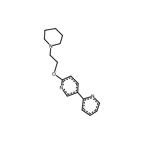 c1ccc(-c2ccc(OCCN3CCCCC3)nc2)nc1